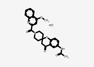 COc1cc(C(=O)N2CCC3(CC2)CC(=O)c2cc(NC(C)=O)ccc2O3)nc2ccccc12.Cl